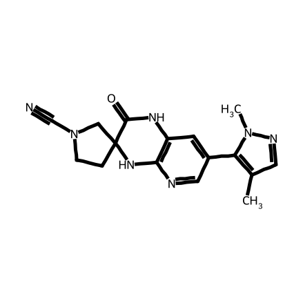 Cc1cnn(C)c1-c1cnc2c(c1)NC(=O)C1(CCN(C#N)C1)N2